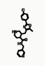 Cc1oc(-c2ccc(Cl)cc2)nc1CC1CNCCC1C(=O)NCc1cccnc1